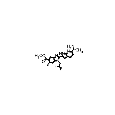 COC(=O)c1cc2nc(-c3cc4ccc([C@@H](C)N)nc4[nH]3)n(CC(F)F)c2cc1F